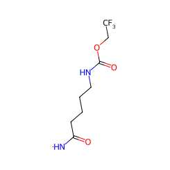 [NH]C(=O)CCCCNC(=O)OCC(F)(F)F